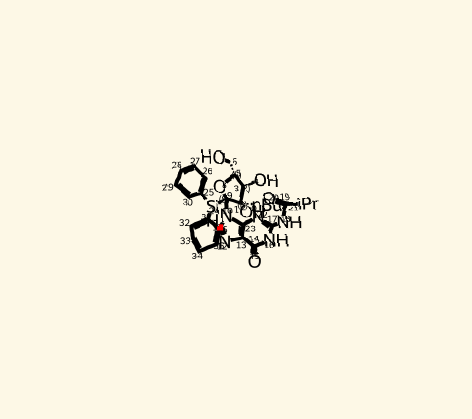 CCCC[C@@]1(O)[C@H](O)[C@@H](CO)O[C@]1(n1cnc2c(=O)[nH]c(NC(=O)C(C)C)nc21)[SiH](c1ccccc1)c1ccccc1